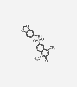 Cn1c(=O)cc(C(F)(F)F)c2cc(S(=O)(=O)Nc3ccc4c(c3)OCO4)ccc21